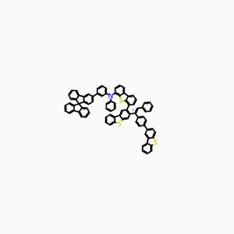 C(=C(/c1ccc(-c2ccc3sc4ccccc4c3c2)cc1)c1cc2sc3ccccc3c2cc1-c1cccc2c1sc1c(N(c3ccccc3)c3cccc(-c4ccc5c(c4)-c4ccccc4C54c5ccccc5-c5ccccc54)c3)cccc12)/c1ccccc1